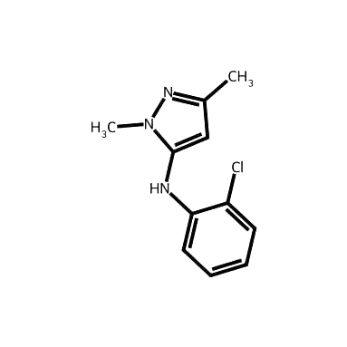 Cc1cc(Nc2ccccc2Cl)n(C)n1